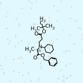 C[C@@H](C(=O)OCc1ccccc1)N(CCC(=O)OC(C)(C)C)C1CCCCC1